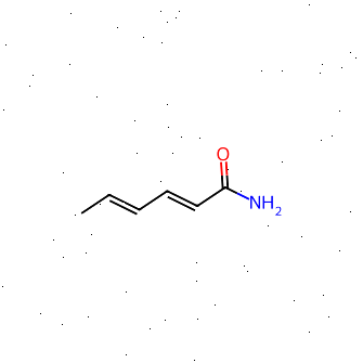 C/C=C/C=C/C(N)=O